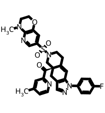 Cc1ccnc(C(=O)[C@]23Cc4cnn(-c5ccc(F)cc5)c4C=C2CCN(S(=O)(=O)c2cnc4c(c2)OCCN4C)C3)c1